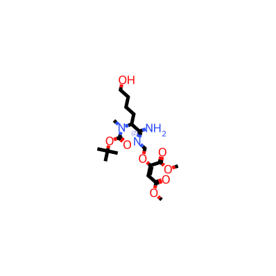 COC(=O)C=C(OC/N=C(\N)C(CCCCO)N(C)C(=O)OC(C)(C)C)C(=O)OC